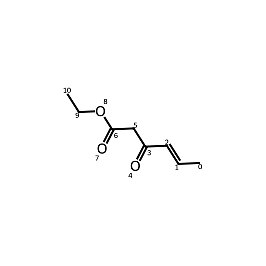 CC=CC(=O)CC(=O)OCC